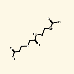 CC(C)C(=O)CCSCC(=O)NCCNC(=O)C(C)C